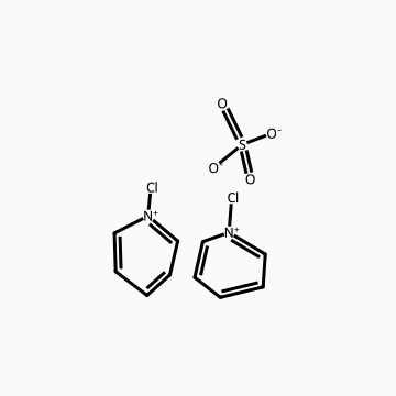 Cl[n+]1ccccc1.Cl[n+]1ccccc1.O=S(=O)([O-])[O-]